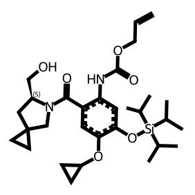 C=CCOC(=O)Nc1cc(O[Si](C(C)C)(C(C)C)C(C)C)c(OC2CC2)cc1C(=O)N1CC2(CC2)C[C@H]1CO